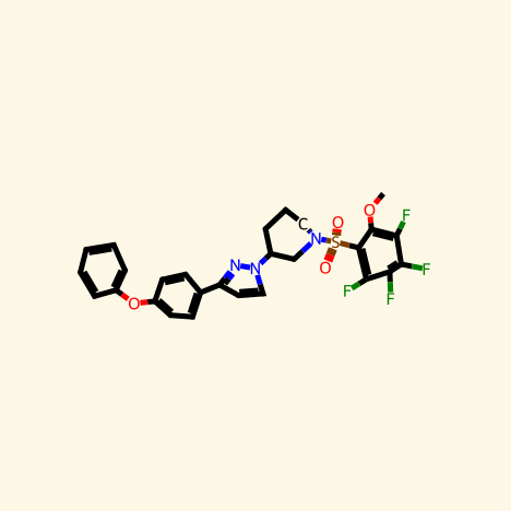 COc1c(F)c(F)c(F)c(F)c1S(=O)(=O)N1CCCC(n2ccc(-c3ccc(Oc4ccccc4)cc3)n2)C1